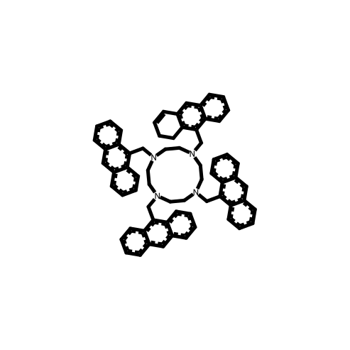 C1=Cc2cc3ccccc3c(CN3CCN(Cc4c5ccccc5cc5ccccc45)CCN(Cc4c5ccccc5cc5ccccc45)CCN(Cc4c5ccccc5cc5ccccc45)CC3)c2CC1